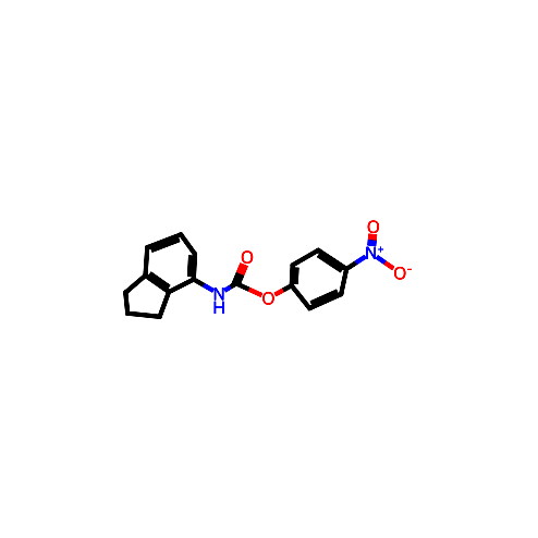 O=C(Nc1cccc2c1CCC2)Oc1ccc([N+](=O)[O-])cc1